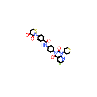 O=C1CCSN(c2ccc(C(=O)NC3CCC(n4c(=O)c5cc(F)cnc5n(C5CCSCC5)c4=O)CC3)cc2)C1=O